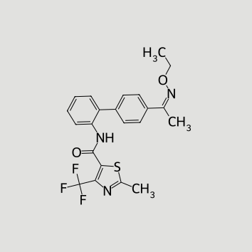 CCO/N=C(/C)c1ccc(-c2ccccc2NC(=O)c2sc(C)nc2C(F)(F)F)cc1